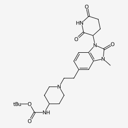 Cn1c(=O)n(C2CCC(=O)NC2=O)c2ccc(CCN3CCC(NC(=O)OC(C)(C)C)CC3)cc21